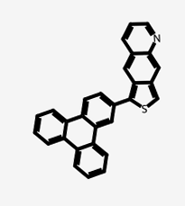 c1cnc2cc3csc(-c4ccc5c6ccccc6c6ccccc6c5c4)c3cc2c1